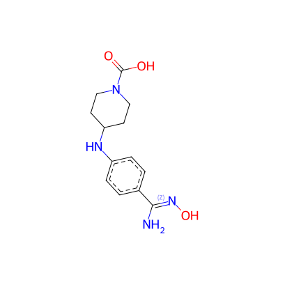 N/C(=N\O)c1ccc(NC2CCN(C(=O)O)CC2)cc1